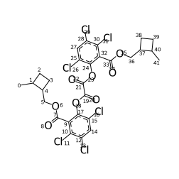 CC1CCC1COC(=O)c1c(Cl)c(Cl)cc(Cl)c1OC(=O)C(=O)Oc1c(Cl)cc(Cl)c(Cl)c1C(=O)OCC1CCC1C